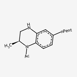 CCCCCc1ccc2c(c1)NC[C@H](C)N2C(C)=O